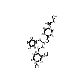 O=CNc1ccc(OC(CCc2ccc(Cl)cc2Cl)Cn2ccnc2)cc1